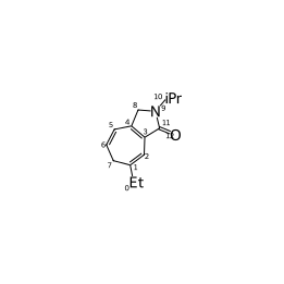 CCC1=CC2=C(C=CC1)CN(C(C)C)C2=O